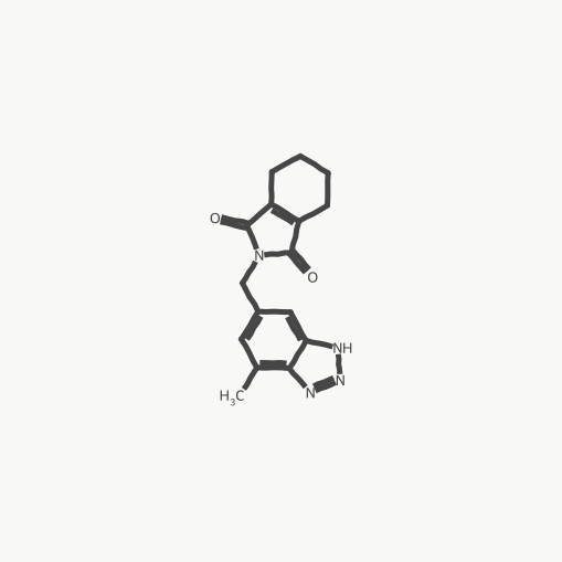 Cc1cc(CN2C(=O)C3=C(CCCC3)C2=O)cc2[nH]nnc12